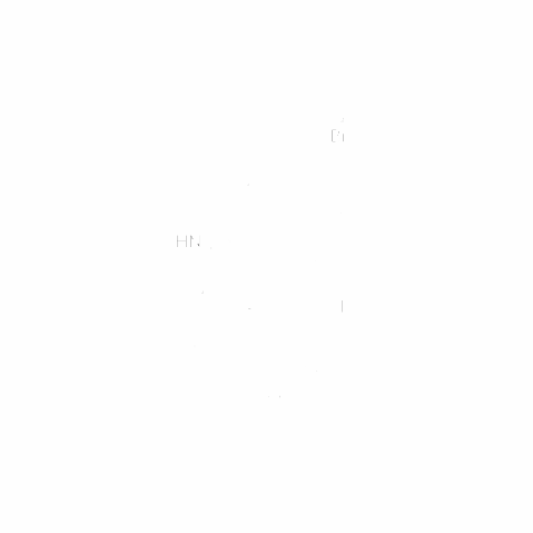 Fc1cc(Br)cc2c1C1(CCOCC1)CN2